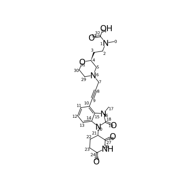 CN(CC[C@H]1CN(CC#Cc2cccc3c2n(C)c(=O)n3C2CCC(=O)NC2=O)CCO1)C(=O)O